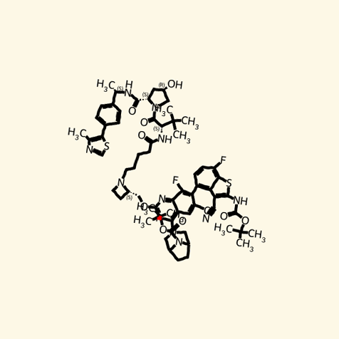 Cc1ncsc1-c1ccc([C@H](C)NC(=O)[C@@H]2C[C@@H](O)CN2C(=O)[C@@H](NC(=O)CCCCN2CC[C@H]2COc2nc(N3CC4CCC(C3)N4C(=O)OC(C)(C)C)c3cc(Cl)c(-c4ccc(F)c5sc(NC(=O)OC(C)(C)C)c(C#N)c45)c(F)c3n2)C(C)(C)C)cc1